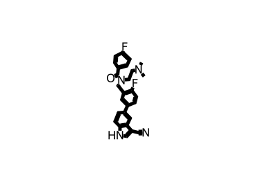 CN(C)CCN(Cc1cc(-c2ccc3[nH]cc(C#N)c3c2)ccc1F)C(=O)c1ccc(F)cc1